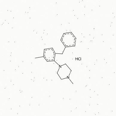 Cc1ccc(Cc2ccccc2)c(N2CCN(C)CC2)c1.Cl